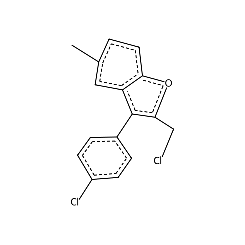 Cc1ccc2oc(CCl)c(-c3ccc(Cl)cc3)c2c1